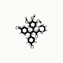 COc1cc(C(C(=O)C2SCCCS2)=C(c2ccc(Cl)cc2)c2ccc(Cl)cc2)cc(OC)c1OC